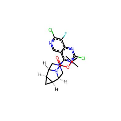 CC(C)(C)OC(=O)N1[C@@H]2CN(c3nc(Cl)nc4c(F)c(Cl)ncc34)C[C@H]1[C@H]1C[C@H]12